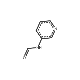 O=CNc1c[c]cnc1